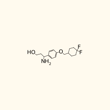 NC(CCO)c1ccc(OCC2CCC(F)(F)CC2)cc1